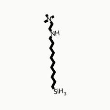 C[N+](C)(C)CCNCCCCCCCCCCC[SiH3]